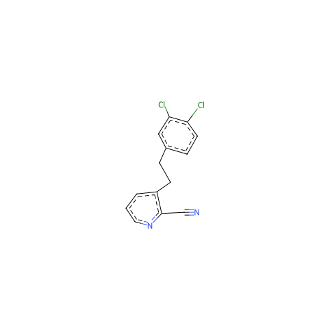 N#Cc1ncccc1CCc1ccc(Cl)c(Cl)c1